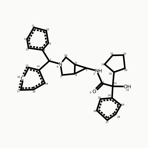 O=C(NC1C2CN(C(c3ccccc3)c3ccccc3)CC21)C(O)(c1ccccc1)C1CCCC1